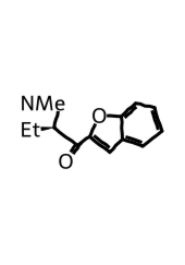 CC[C@@H](NC)C(=O)c1cc2ccccc2o1